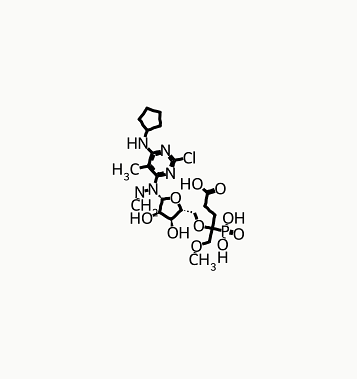 C=NN(c1nc(Cl)nc(NC2CCCC2)c1C)[C@@H]1O[C@H](COC(CCC(=O)O)(COC)P(=O)(O)O)[C@@H](O)[C@H]1O